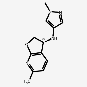 Cn1cc(N[C@@H]2COc3nc(C(F)(F)F)ccc32)cn1